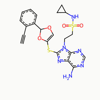 C#Cc1ccccc1C1OC=C(Sc2nc3c(N)ncnc3n2CCS(=O)(=O)NC2CC2)O1